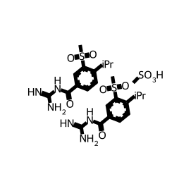 CC(C)c1ccc(C(=O)NC(=N)N)cc1S(C)(=O)=O.CC(C)c1ccc(C(=O)NC(=N)N)cc1S(C)(=O)=O.CS(=O)(=O)O